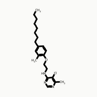 CCCCCCCCc1ccc(OCCNc2ncnc(C)c2Cl)c(C)c1